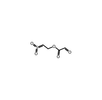 O=CC(=O)OCC=S(=O)=O